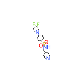 O=S(=O)(NCc1ccncc1)c1ccc(N2CCC(F)(F)C2)cc1